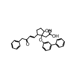 O=C(O)CC1(Oc2cccc(-c3ccccc3)c2)C(O)CCC1C=CC(=O)Cc1ccccc1